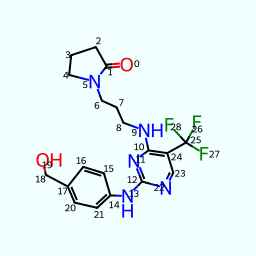 O=C1CCCN1CCCNc1nc(Nc2ccc(CO)cc2)ncc1C(F)(F)F